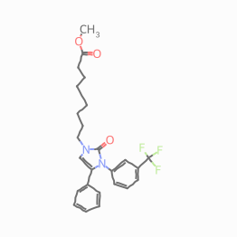 COC(=O)CCCCCCCn1cc(-c2ccccc2)n(-c2cccc(C(F)(F)F)c2)c1=O